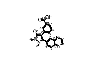 Cn1c(-c2ccc3nccnc3c2)c(-c2cccc(C(=O)O)c2)c(=O)n1C